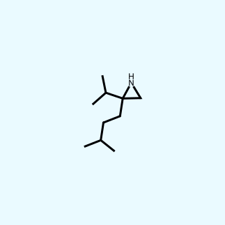 CC(C)CCC1(C(C)C)CN1